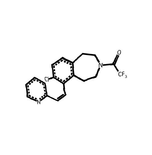 O=C(N1CCc2ccc(Cl)c(/C=C\c3ccccn3)c2CC1)C(F)(F)F